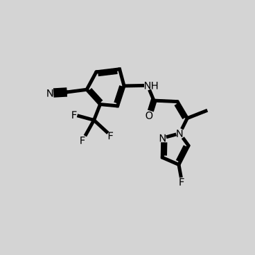 CC(=CC(=O)Nc1ccc(C#N)c(C(F)(F)F)c1)n1cc(F)cn1